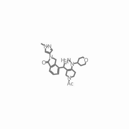 CCC(C1=C(N(N)C2CCOCC2)CCN(C(C)=O)C1)c1cccc2c1CN(c1cnn(C)c1)C2=O